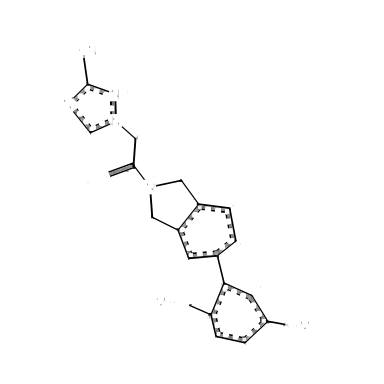 COc1ccc(OC)c(-c2ccc3c(c2)CN(C(=O)Cn2cnc(C#N)n2)C3)c1